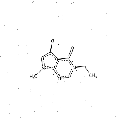 CCn1cnc2c(c(Cl)cn2C)c1=O